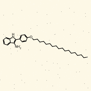 CCCCCCCCCCCCCCCCCCOc1ccc(-c2[nH]c3ccccc3c2N)cc1